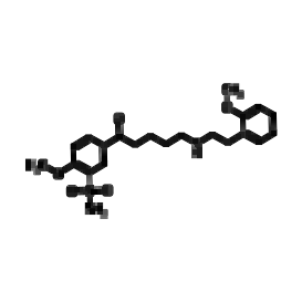 COc1ccccc1CCNCCCCC(=O)c1ccc(OC)c(S(N)(=O)=O)c1